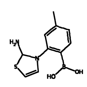 Cc1ccc(B(O)O)c(N2C=CSC2N)c1